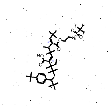 CCC(C)(/C(=C/C(C)(C)C(C)/C(=C/C(C)(C)C)C(=O)OCCNS(=O)(=O)C(F)(F)F)C(=O)O)C(C)(C)CC(c1ccc(C(C)(C)C)cc1)C(C)(C)C